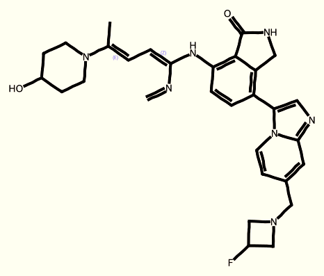 C=N/C(=C\C=C(/C)N1CCC(O)CC1)Nc1ccc(-c2cnc3cc(CN4CC(F)C4)ccn23)c2c1C(=O)NC2